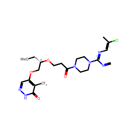 C=N/C(=N\C=C(/C)Cl)N1CCN(C(=O)CCO[C@@H](COC)COc2cn[nH]c(=O)c2C(F)(F)F)CC1